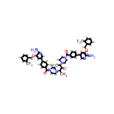 CC(C(=O)C(C)N1CCN(C(=O)c2ccc(-c3cnc(N)c(OCc4ccccc4C(F)(F)F)c3)cc2)CC1)N1CCN(C(=O)c2ccc(-c3cnc(N)c(OCc4ccccc4C(F)(F)F)c3)cc2)CC1